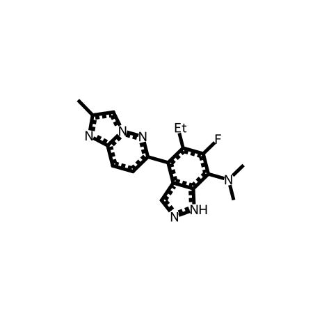 CCc1c(F)c(N(C)C)c2[nH]ncc2c1-c1ccc2nc(C)cn2n1